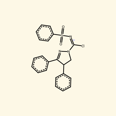 O=S(=O)(/N=C(/Cl)N1CC(c2ccccc2)C(c2ccccc2)=N1)c1ccccc1